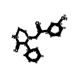 O=C(CN1CCNC(=O)C1c1ccccc1)c1cccc(O)c1